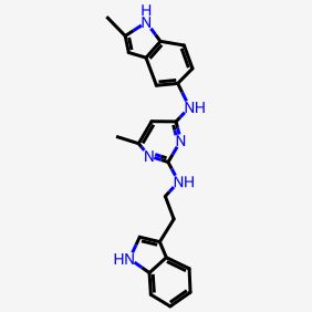 Cc1cc(Nc2ccc3[nH]c(C)cc3c2)nc(NCCc2c[nH]c3ccccc23)n1